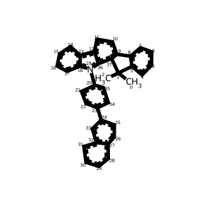 CC1(C)c2ccccc2-c2ccc3c4ccccc4n(-c4ccc(-c5ccc6ccccc6c5)cc4)c3c21